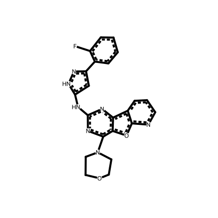 Fc1ccccc1-c1cc(Nc2nc(N3CCOCC3)c3oc4ncccc4c3n2)[nH]n1